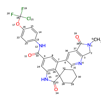 CN1Cc2ncc(-c3cc(C(=O)Nc4ccc(OC(F)(F)Cl)cc4)cc4c3C3(CCCCC3)C(=O)N4)cc2C1=O